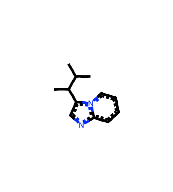 CC(C)C(C)c1cnc2ccccn12